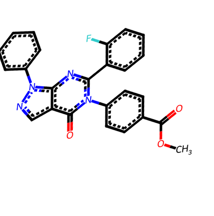 COC(=O)c1ccc(-n2c(-c3ccccc3F)nc3c(cnn3-c3ccccc3)c2=O)cc1